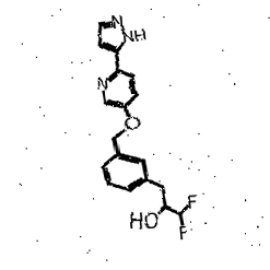 OC(Cc1cccc(COc2ccc(-c3ccn[nH]3)nc2)c1)C(F)F